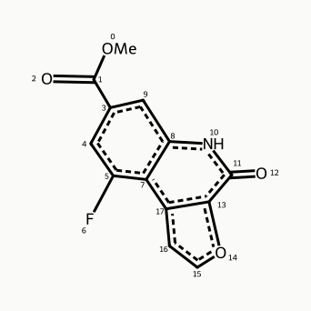 COC(=O)c1cc(F)c2c(c1)[nH]c(=O)c1occc12